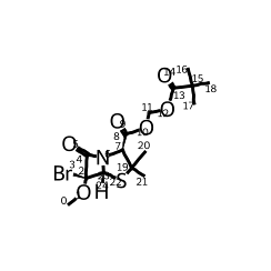 CO[C@]1(Br)C(=O)N2[C@@H](C(=O)OCOC(=O)C(C)(C)C)C(C)(C)S[C@@H]21